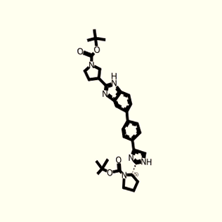 CC(C)(C)OC(=O)N1CCC(c2nc3cc(-c4ccc(-c5c[nH]c([C@@H]6CCCN6C(=O)OC(C)(C)C)n5)cc4)ccc3[nH]2)C1